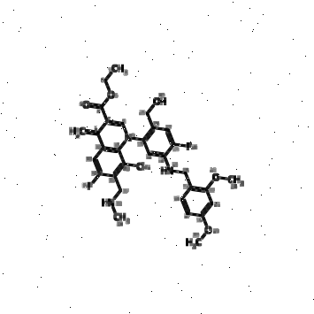 C=C1C(C(=O)OCC)=CN(c2cc(NCc3ccc(OC)cc3OC)c(F)cc2CO)c2c1cc(F)c(CNC)c2Cl